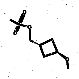 CO[C@H]1C[C@H](COS(C)(=O)=O)C1